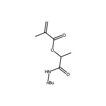 C=C(C)C(=O)OC(C)C(=O)NCCCC